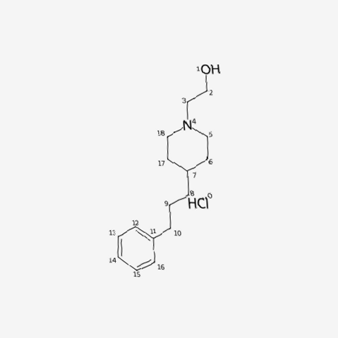 Cl.OCCN1CCC(CCCc2ccccc2)CC1